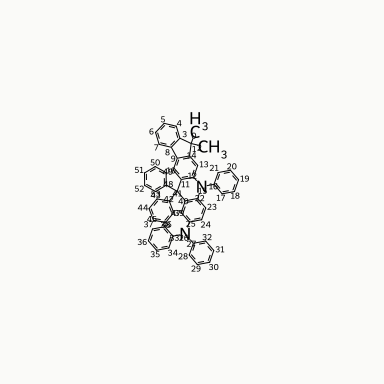 CC1(C)c2ccccc2-c2cc3c(cc21)N(c1ccccc1)c1ccc(N(c2ccccc2)c2ccccc2)cc1C3(c1ccccc1)c1ccccc1